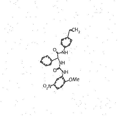 C=Cc1ccc(NC(=O)C(NC(=O)Nc2cc([N+](=O)[O-])ccc2OC)c2ccccc2)cc1